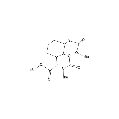 CC(C)(C)OC(=O)OC1CCCC(OC(=O)OC(C)(C)C)C1OC(=O)OC(C)(C)C